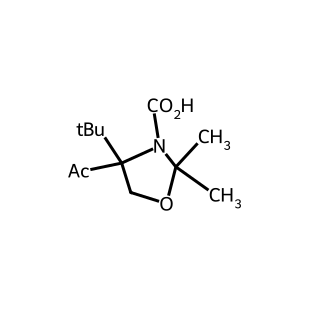 CC(=O)C1(C(C)(C)C)COC(C)(C)N1C(=O)O